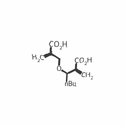 C=C(COC(CCCC)C(=C)C(=O)O)C(=O)O